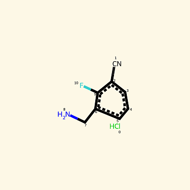 Cl.N#Cc1cccc(CN)c1F